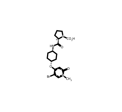 Cn1cc(Br)c(O[C@H]2CC[C@H](NC(=O)[C@H]3CCCN3C(=O)O)CC2)cc1=O